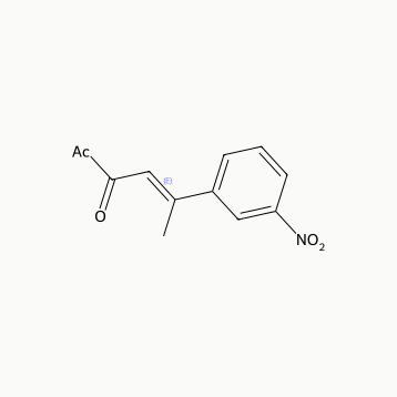 CC(=O)C(=O)/C=C(\C)c1cccc([N+](=O)[O-])c1